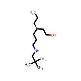 CCC[C@@H](CCO)CCCNCC(C)(C)C